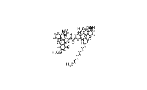 CCCCCCCCCCCCC(Oc1ccc(O)c(C(C)(C)C)c1)C(=O)Nc1cccc(C(=O)NC2=NN(c3c(Cl)cc(OC)cc3Cl)C(=O)C2n2ccnc2-c2ccccc2)c1